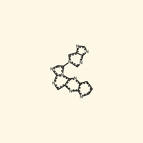 c1cnc2nc3cnc4ncc(-n5cnc6ncnc-6c5)n4c3nc2c1